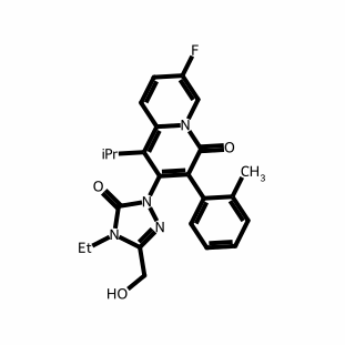 CCn1c(CO)nn(-c2c(-c3ccccc3C)c(=O)n3cc(F)ccc3c2C(C)C)c1=O